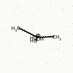 CCCCCCCCCCCCCCCCCC(=O)[C@@](O)(C(=O)CCCCCCCCCCCCC)[C@@H](O)CO